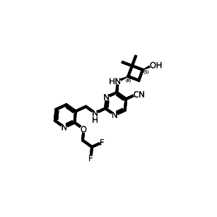 CC1(C)[C@@H](O)C[C@H]1Nc1nc(NCc2cccnc2OCC(F)F)ncc1C#N